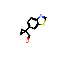 O=CC1(c2ccc3ncsc3c2)CC1